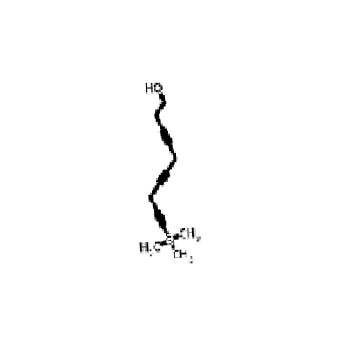 C[Si](C)(C)C#CCC#CCC#CCCO